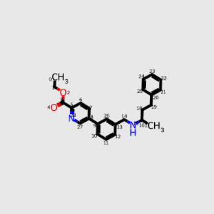 CCOC(=O)c1ccc(-c2cccc(CNC(C)CCc3ccccc3)c2)cn1